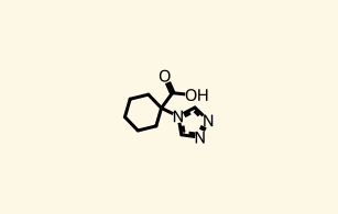 O=C(O)C1(n2cnnc2)CCCCC1